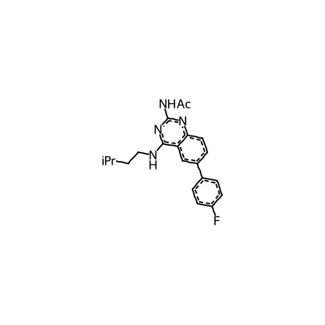 CC(=O)Nc1nc(NCCC(C)C)c2cc(-c3ccc(F)cc3)ccc2n1